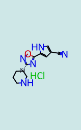 Cl.N#Cc1c[nH]c(-c2nc([C@H]3CCCNC3)no2)c1